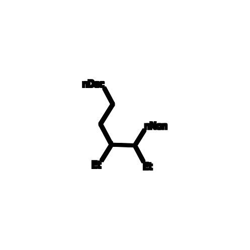 CCCCCCCCCCCC[C](CC)C(CC)CCCCCCCCC